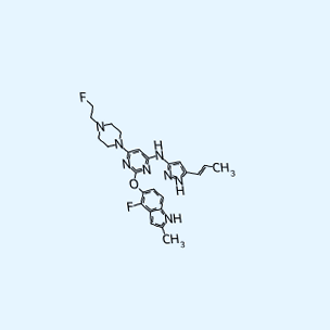 C/C=C/c1cc(Nc2cc(N3CCN(CCF)CC3)nc(Oc3ccc4[nH]c(C)cc4c3F)n2)n[nH]1